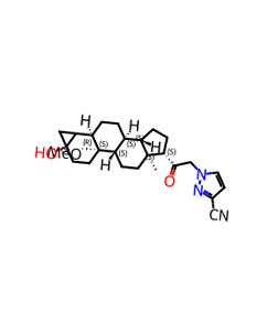 COC[C@]12CC[C@]3(O)CC3[C@H]1CC[C@H]1[C@@H]3CC[C@H](C(=O)Cn4ccc(C#N)n4)[C@@]3(C)CC[C@@H]12